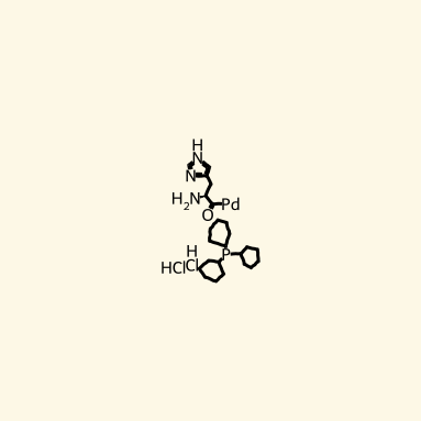 C1CCC(P(C2CCCCC2)C2CCCCC2)CC1.Cl.Cl.N[C@@H](Cc1c[nH]cn1)[C](=O)[Pd]